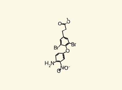 COC(=O)CCc1cc(Br)c(Oc2ccc(N)c([N+](=O)[O-])c2)c(Br)c1